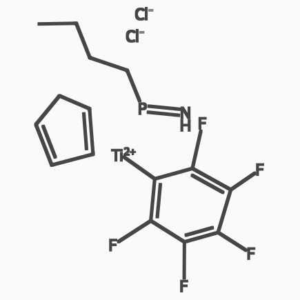 C1=CCC=C1.CCCCP=N.Fc1c(F)c(F)[c]([Ti+2])c(F)c1F.[Cl-].[Cl-]